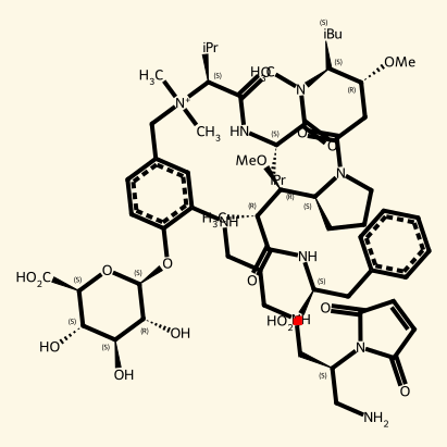 CC[C@H](C)[C@@H]([C@@H](CC(=O)N1CCC[C@H]1[C@H](OC)[C@@H](C)C(=O)N[C@@H](Cc1ccccc1)C(=O)O)OC)N(C)C(=O)[C@@H](NC(=O)[C@H](C(C)C)[N+](C)(C)Cc1ccc(O[C@@H]2O[C@H](C(=O)O)[C@@H](O)[C@H](O)[C@H]2O)c(NCCCNC[C@H](CN)N2C(=O)C=CC2=O)c1)C(C)C